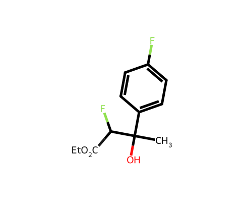 CCOC(=O)C(F)C(C)(O)c1ccc(F)cc1